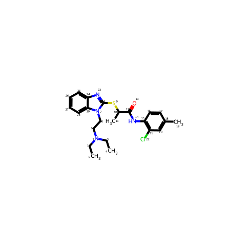 CCN(CC)CCn1c(SC(C)C(=O)Nc2ccc(C)cc2Cl)nc2ccccc21